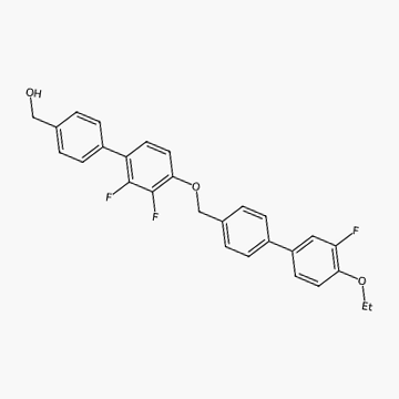 CCOc1ccc(-c2ccc(COc3ccc(-c4ccc(CO)cc4)c(F)c3F)cc2)cc1F